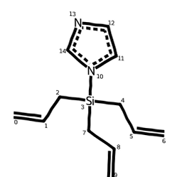 C=CC[Si](CC=C)(CC=C)n1ccnc1